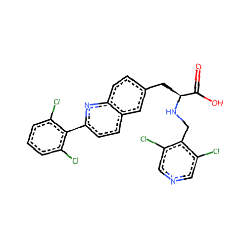 O=C(O)[C@H](Cc1ccc2nc(-c3c(Cl)cccc3Cl)ccc2c1)NCc1c(Cl)cncc1Cl